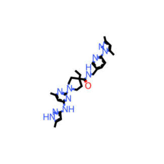 CCC1(C(=O)NCc2ccc(-n3nc(C)cc3C)nc2)CCN(c2nc(C)cc(Nc3cc(C)[nH]n3)n2)CC1